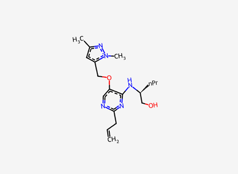 C=CCc1ncc(OCc2cc(C)nn2C)c(N[C@H](CO)CCC)n1